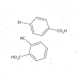 CCc1ccc(C(=O)O)cc1.N#Cc1ccccc1C(=O)O